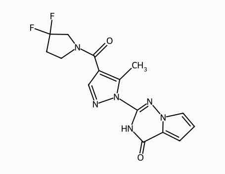 Cc1c(C(=O)N2CCC(F)(F)C2)cnn1-c1nn2cccc2c(=O)[nH]1